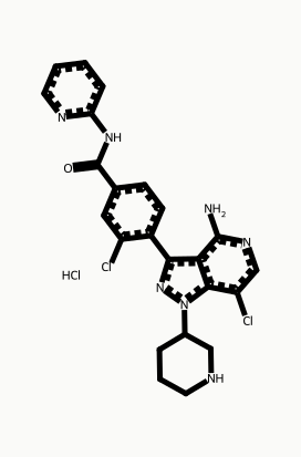 Cl.Nc1ncc(Cl)c2c1c(-c1ccc(C(=O)Nc3ccccn3)cc1Cl)nn2C1CCCNC1